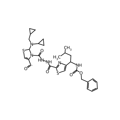 CC(C)CC(NC(=O)OCc1ccccc1)c1csc(C(=O)NNC(=O)N2C([C]=O)=CSC2N(CC2CC2)C2CC2)n1